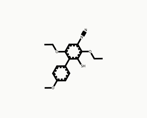 CCOc1cc([N+]#N)c(OCC)c(S)c1-c1ccc(OC)cc1